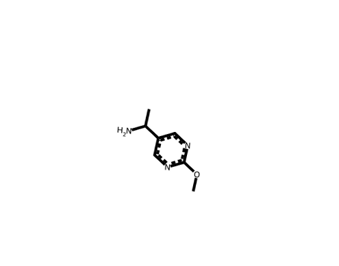 COc1ncc(C(C)N)cn1